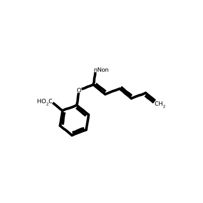 C=CC=CC=C(CCCCCCCCC)Oc1ccccc1C(=O)O